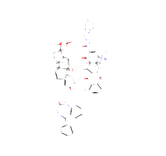 CC(=O)O[C@]1(C(C)=O)CC[C@H]2[C@@H]3C=C(C)C4=CC(=O)CC[C@]4(C)[C@H]3CC[C@@]21C.CN(C)[C@@H]1C(O)=C(C(=O)NCN2CCCC2)C(=O)[C@@]2(O)C(O)=C3C(=O)c4c(O)cccc4[C@@](C)(O)C3C[C@@H]12.CN1C(=O)CN=C(c2ccccc2)c2cc(Cl)ccc21